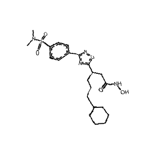 CN(C)S(=O)(=O)c1ccc(-c2noc([C@H](CCCC3CCCCC3)CC(=O)NO)n2)cc1